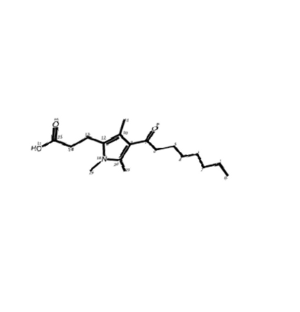 CCCCCCCC(=O)c1c(C)c(CCC(=O)O)n(C)c1C